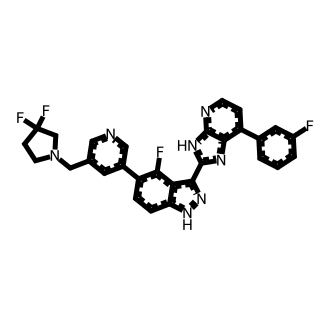 Fc1cccc(-c2ccnc3[nH]c(-c4n[nH]c5ccc(-c6cncc(CN7CCC(F)(F)C7)c6)c(F)c45)nc23)c1